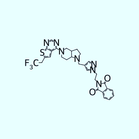 O=C1c2ccccc2C(=O)N1CCn1cc(CN2CCC3CN(c4ncnc5sc(CC(F)(F)F)cc45)CCC32)cn1